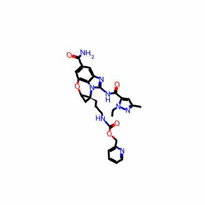 CCn1nc(C)cc1C(=O)Nc1nc2cc(C(N)=O)cc3c2n1[C@]1(CCCNC(=O)OCc2ccccn2)CC1O3